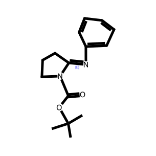 CC(C)(C)OC(=O)N1CCC/C1=N\c1ccccc1